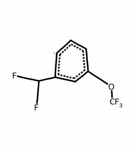 FC(F)c1[c]ccc(OC(F)(F)F)c1